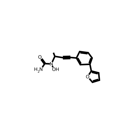 CC(C#Cc1cccc(-c2ccco2)c1)N(O)C(N)=O